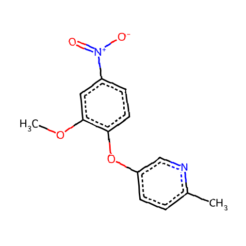 COc1cc([N+](=O)[O-])ccc1Oc1ccc(C)nc1